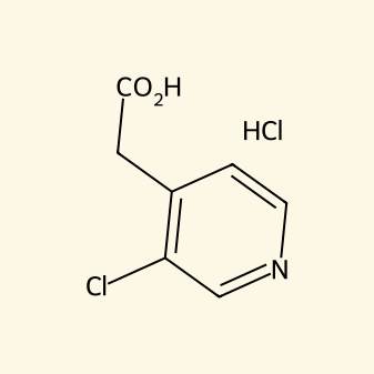 Cl.O=C(O)Cc1ccncc1Cl